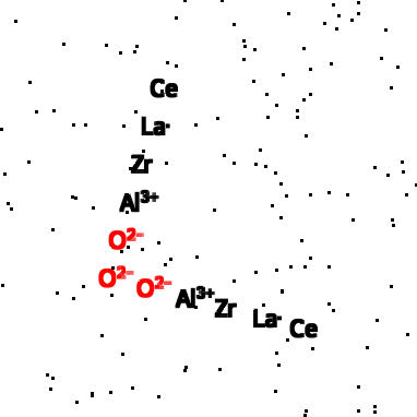 [Al+3].[Al+3].[Ce].[Ce].[La].[La].[O-2].[O-2].[O-2].[Zr].[Zr]